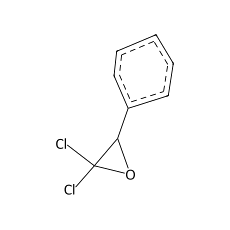 ClC1(Cl)OC1c1ccccc1